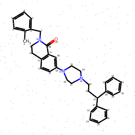 Cc1ccccc1CN1CCc2ccc(N3CCN(CCC(c4ccccc4)c4ccccc4)CC3)cc2C1=O